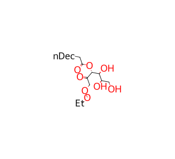 CCCCCCCCCCCC(=O)O[C@@H](C(=O)COOCC)[C@@H](O)[C@H](O)CO